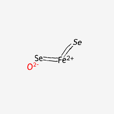 [O-2].[Se]=[Fe+2]=[Se]